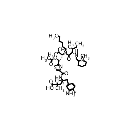 CCCCCCN(C(=O)[C@@H](NCC1CCCCN1C)[C@@H](C)CC)[C@H](C[C@@H](OC(C)=O)c1nc(C(=O)NC(Cc2ccc(F)c(N)c2)CC(C)(C)C(=O)O)cs1)C(C)C